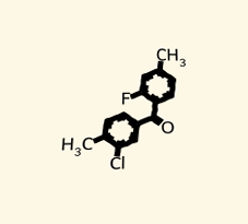 Cc1ccc(C(=O)c2ccc(C)c(Cl)c2)c(F)c1